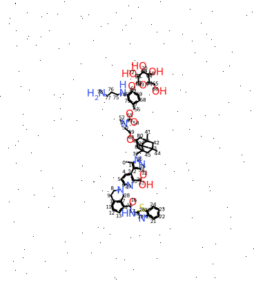 Cc1c(-c2ccc(N3CCc4cccc(C(=O)Nc5nc6ccccc6s5)c4C3)nc2C(=O)O)cnn1CC12CC3(C)CC(C)(C1)CC(OCCN(C)C(=O)OCc1ccc(O[C@@H]4O[C@H](CO)[C@H](O)[C@H](O)[C@H]4O)c(NCCCN)c1)(C3)C2